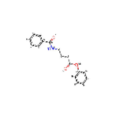 O=C(CCCNC(=O)c1ccccc1)Oc1ccccc1